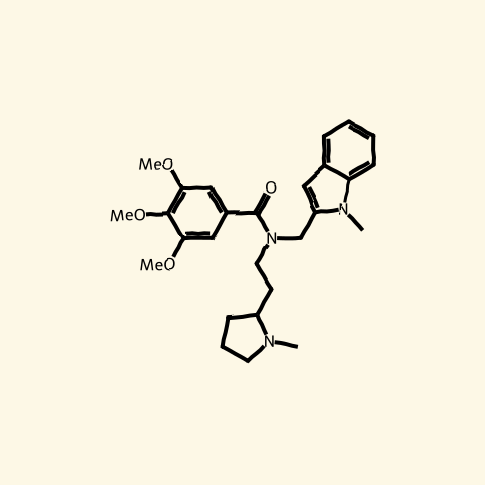 COc1cc(C(=O)N(CCC2CCCN2C)Cc2cc3ccccc3n2C)cc(OC)c1OC